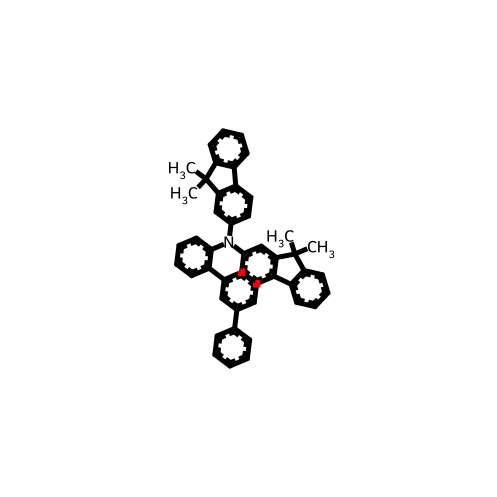 CC1(C)c2ccccc2-c2ccc(N(c3ccc4c(c3)C(C)(C)c3ccccc3-4)c3ccccc3-c3cccc(-c4ccccc4)c3)cc21